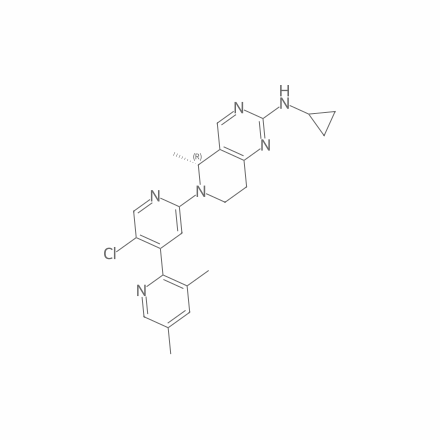 Cc1cnc(-c2cc(N3CCc4nc(NC5CC5)ncc4[C@H]3C)ncc2Cl)c(C)c1